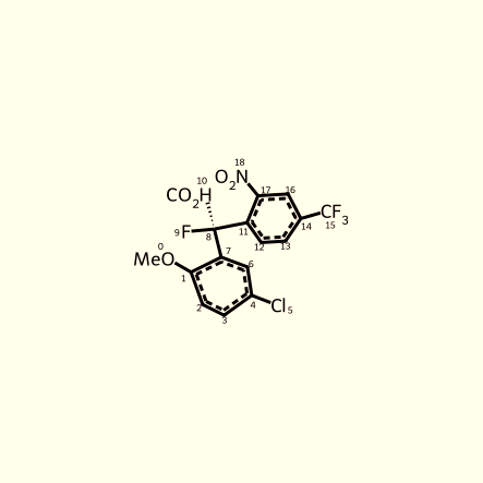 COc1ccc(Cl)cc1[C@](F)(C(=O)O)c1ccc(C(F)(F)F)cc1[N+](=O)[O-]